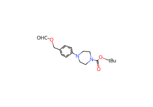 CC(C)(C)OC(=O)N1CCN(c2ccc(COC=O)cc2)CC1